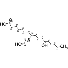 CCCCCC(O)CCCC(CCCCCCC(=O)O)SCCO